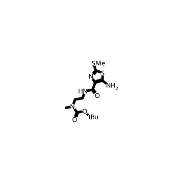 CSc1nc(C(=O)NCCN(C)C(=O)OC(C)(C)C)c(N)s1